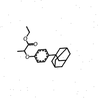 CCOC(=O)C(C)Oc1ccc(C23CC4CC(CC(C4)C2)C3)cc1